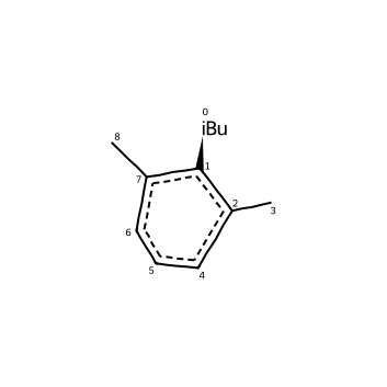 C[CH][C@H](C)c1c(C)cccc1C